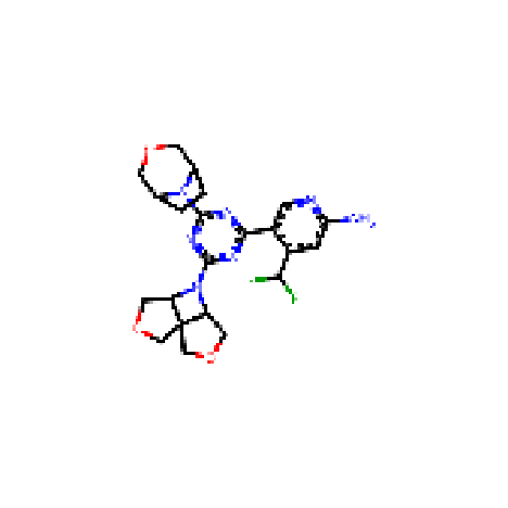 Nc1cc(C(F)F)c(-c2nc(N3C4CCC3COC4)nc(N3C4COCC45COCC35)n2)cn1